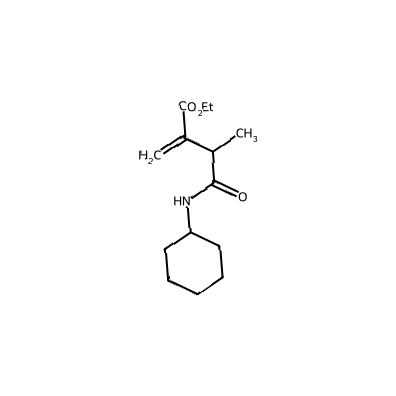 C=C(C(=O)OCC)C(C)C(=O)NC1CCCCC1